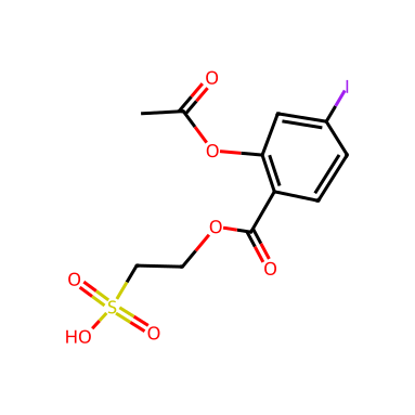 CC(=O)Oc1cc(I)ccc1C(=O)OCCS(=O)(=O)O